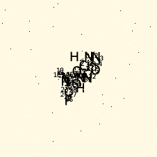 Nc1nccc(Oc2ccc(NC(=O)c3cn(C4CC4)nc(-c4ccc(F)cc4)c3=O)nc2)c1Cl